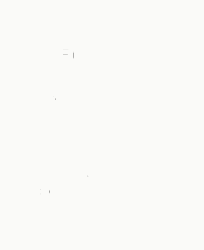 CCSC1CCC=CC1=O